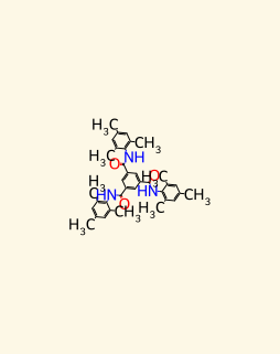 Cc1cc(C)c(NC(=O)c2cc(C(=O)Nc3c(C)cc(C)cc3C)cc(C(=O)Nc3c(C)cc(C)cc3C)c2)c(C)c1